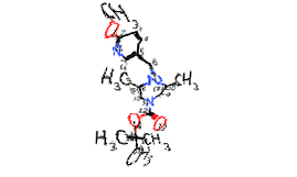 COc1ccc(CN2[C@H](C)CN(C(=O)OC(C)(C)C)C[C@@H]2C)cn1